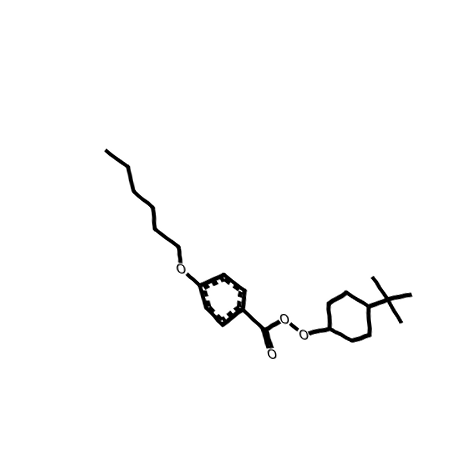 CCCCCCOc1ccc(C(=O)OO[C]2CCC(C(C)(C)C)CC2)cc1